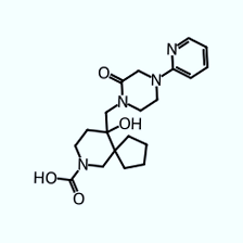 O=C(O)N1CCC(O)(CN2CCN(c3ccccn3)CC2=O)C2(CCCC2)C1